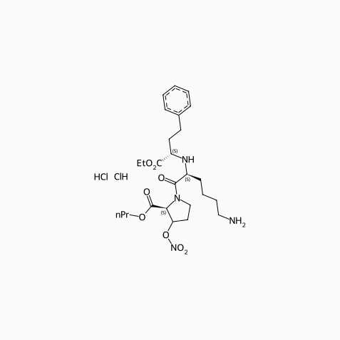 CCCOC(=O)[C@@H]1C(O[N+](=O)[O-])CCN1C(=O)[C@H](CCCCN)N[C@@H](CCc1ccccc1)C(=O)OCC.Cl.Cl